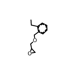 CCc1ccccc1COCC1CO1